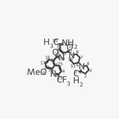 C=C1CCCN1C1CCN(C(=O)c2nc(-c3ccc(OC)c4nc(C(F)(F)F)ccc34)oc2C(C)N)CC1